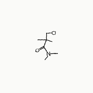 CN(C)C(=O)C(C)(C)CCl